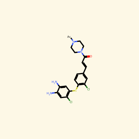 CC(=O)N1CCN(C(=O)C=Cc2ccc(Sc3cc(N)c(N)cc3Cl)c(Cl)c2)CC1